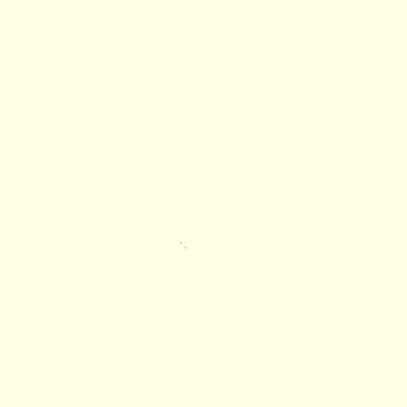 COc1cc(CC(N)C(=O)O)c(OC)c2ccccc12